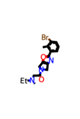 CCN(C)CC(=O)N1Cc2nc(-c3cccc(Br)c3C)oc2C1